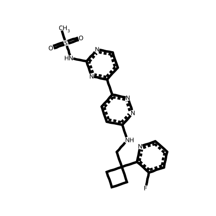 CS(=O)(=O)Nc1nccc(-c2ccc(NCC3(c4ncccc4F)CCC3)nn2)n1